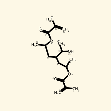 C=C(C)C(=O)OC(C)C[C](CC(C)OC(=O)C(=C)C)C(C)O